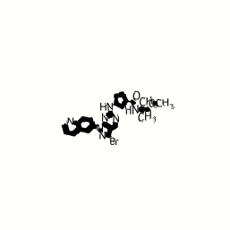 COCC(C)(C)NC(=O)[C@@H]1CC[C@@H](Nc2ncc3c(Br)nn(-c4ccc5ncccc5c4)c3n2)C1